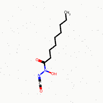 CCCCCCCCC(=O)N(O)N=C=O